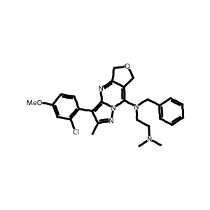 COc1ccc(-c2c(C)nn3c(N(CCN(C)C)Cc4ccccc4)c4c(nc23)COC4)c(Cl)c1